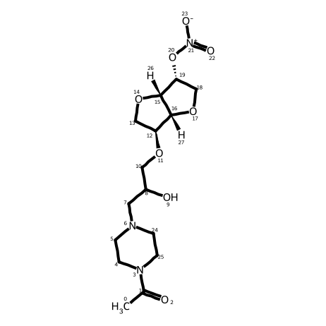 CC(=O)N1CCN(CC(O)CO[C@H]2CO[C@H]3[C@@H]2OC[C@H]3O[N+](=O)[O-])CC1